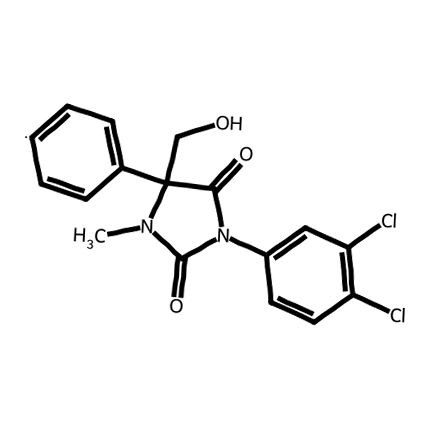 CN1C(=O)N(c2ccc(Cl)c(Cl)c2)C(=O)C1(CO)c1cc[c]cc1